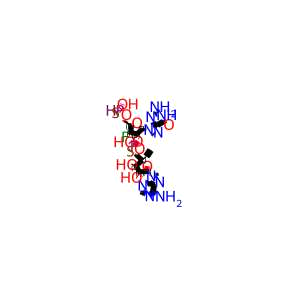 C#C[C@]1(COP(O)(=S)O[C@@H]2[C@H](F)[C@@H](CO[PH](O)=S)O[C@H]2n2cnc3c(=O)[nH]c(N)nc32)O[C@@H](n2cnc3c(N)ncnc32)[C@H](O)[C@@H]1O